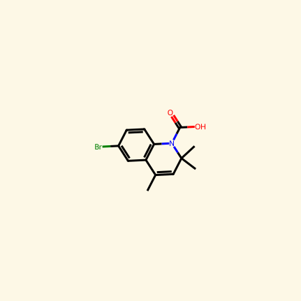 CC1=CC(C)(C)N(C(=O)O)c2ccc(Br)cc21